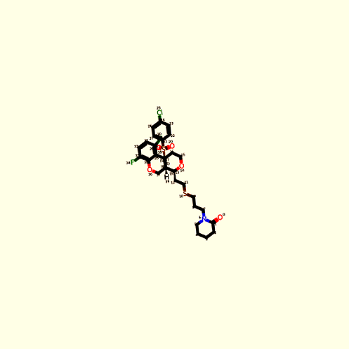 O=C1CCCCN1CCCSCC[C@@H]1OCC[C@@]2(S(=O)(=O)c3ccc(Cl)cc3)c3c(F)ccc(F)c3OC[C@@H]12